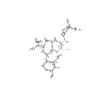 C[C@@H]1Cc2c(-c3ccc(F)cc3F)cc(C(N)=O)nc2O[C@@H]1COC(F)F